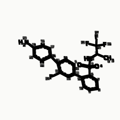 CC(NS(=O)(=O)c1ccccc1-c1ccc(-c2cnc(N)cn2)c(F)c1)C(F)(F)F